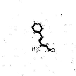 CC(C=CC1=CCCCC1)=CC=O